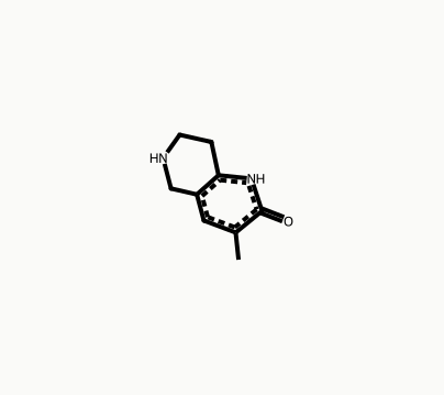 Cc1cc2c([nH]c1=O)CCNC2